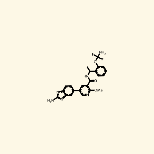 COc1ncc(-c2ccc3nc(N)sc3c2)cc1C(=O)NC(C)c1ccccc1OC(N)(F)F